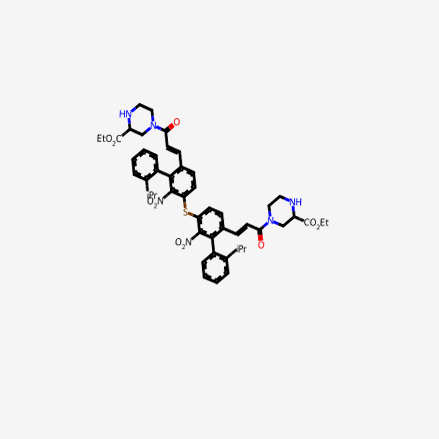 CCOC(=O)C1CN(C(=O)/C=C/c2ccc(Sc3ccc(/C=C/C(=O)N4CCNC(C(=O)OCC)C4)c(-c4ccccc4C(C)C)c3[N+](=O)[O-])c([N+](=O)[O-])c2-c2ccccc2C(C)C)CCN1